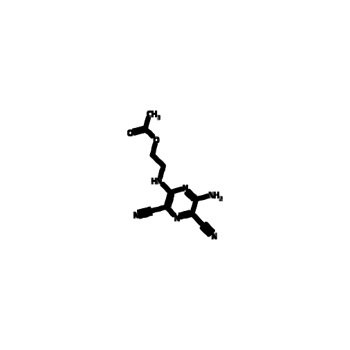 CC(=O)OCCNc1nc(N)c(C#N)nc1C#N